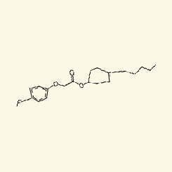 CCCCCC1CCC(OC(=O)COc2ccc(F)cc2)CC1